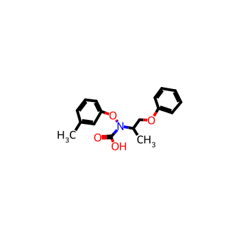 Cc1cccc(ON(C(=O)O)C(C)COc2ccccc2)c1